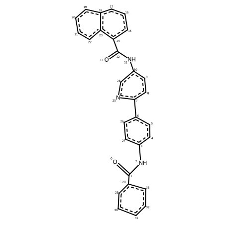 O=C(Nc1ccc(-c2ccc(NC(=O)c3cccc4ccccc34)cn2)cc1)c1ccccc1